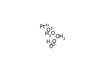 O.O.O.[O-2].[O-2].[Pt+4]